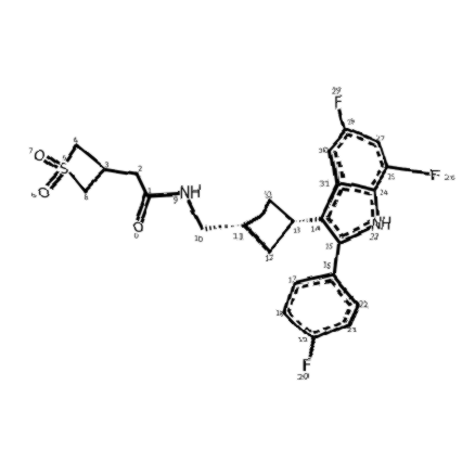 O=C(CC1CS(=O)(=O)C1)NC[C@H]1C[C@@H](c2c(-c3ccc(F)cc3)[nH]c3c(F)cc(F)cc32)C1